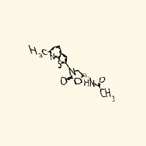 CC(=O)NC[C@H]1CN(c2cc3ccc(C)nc3s2)C(=O)O1